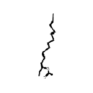 CCCCCCCCCCCC(CC)OC(C)=O